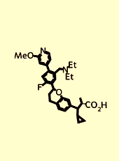 CCN(CC)Cc1cc(C2CCc3ccc(C(C4CC4)[C@H](C)C(=O)O)cc3O2)c(F)cc1-c1ccnc(OC)c1